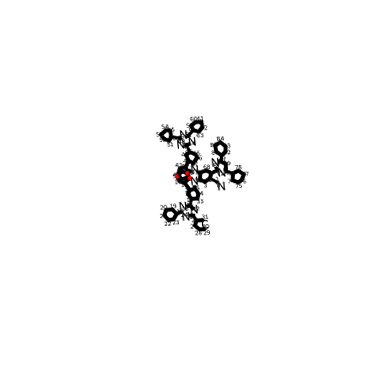 N#Cc1cc(-n2c3ccccc3c3cc(-c4nc(-c5ccccc5)nc(-c5ccccc5)n4)ccc32)c(-n2c3ccccc3c3cc(-c4nc(-c5ccccc5)nc(-c5ccccc5)n4)ccc32)cc1-c1nc(-c2ccccc2)cc(-c2ccccc2)n1